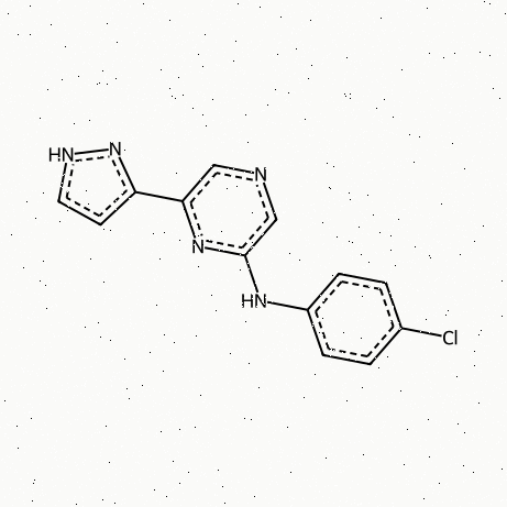 Clc1ccc(Nc2cncc(-c3cc[nH]n3)n2)cc1